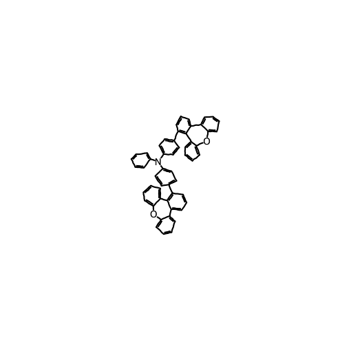 c1ccc(N(c2ccc(-c3cccc4c3-c3ccccc3Oc3ccccc3-4)cc2)c2ccc(-c3cccc4c3-c3ccccc3Oc3ccccc3-4)cc2)cc1